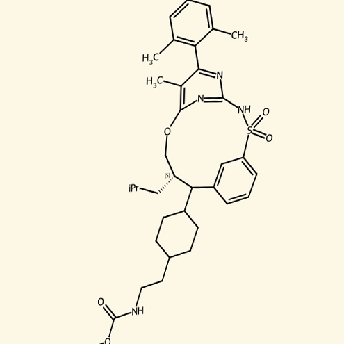 Cc1cccc(C)c1-c1nc2nc(c1C)OC[C@@H](CC(C)C)C(C1CCC(CCNC(=O)OC(C)(C)C)CC1)c1cccc(c1)S(=O)(=O)N2